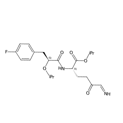 CC(C)OC(=O)[C@H](CCC(=O)C=N)NC(=O)[C@H](Cc1ccc(F)cc1)OC(C)C